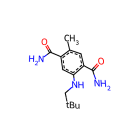 Cc1cc(C(N)=O)c(NCC(C)(C)C)cc1C(N)=O